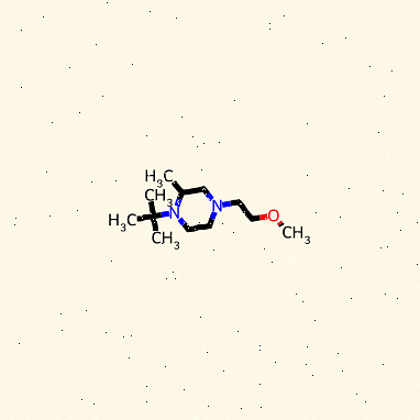 COCCN1CCN(C(C)(C)C)C(C)C1